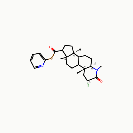 CN1C(=O)[C@H](F)C[C@]2(C)C3CC[C@]4(C)C(C(=O)Sc5ccccn5)CC[C@H]4C3CC[C@@H]12